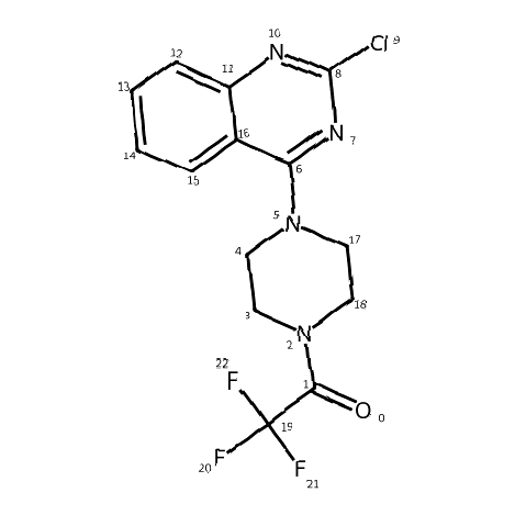 O=C(N1CCN(c2nc(Cl)nc3ccccc23)CC1)C(F)(F)F